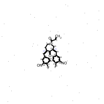 C=CC(=O)N1CC/C(=C/c2ccc(F)c(N=O)c2)C(=O)/C(=C\c2ccc(F)c(N=O)c2)C1